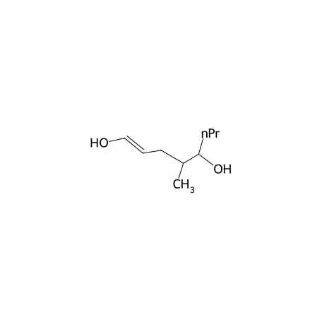 CCCC(O)C(C)CC=CO